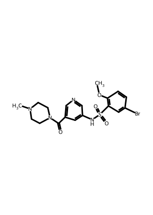 COc1ccc(Br)cc1S(=O)(=O)Nc1cncc(C(=O)N2CCN(C)CC2)c1